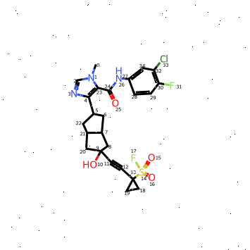 Cn1cnc(C2CC3CC(O)(C#CC4(S(=O)(=O)F)CC4)CC3C2)c1C(=O)Nc1ccc(F)c(Cl)c1